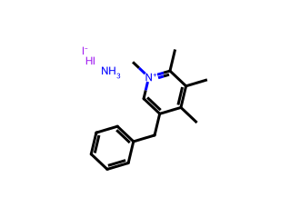 Cc1c(Cc2ccccc2)c[n+](C)c(C)c1C.I.N.[I-]